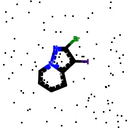 Brc1nn2ccccc2c1I